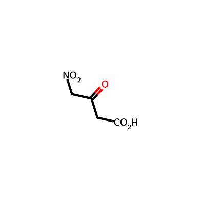 O=C(O)CC(=O)C[N+](=O)[O-]